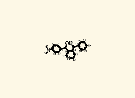 CN(C)c1ccc(C(O)c2cnccc2C(=O)c2ccccc2)cc1